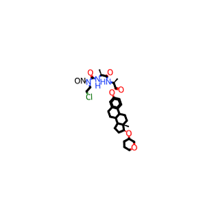 C[C@H](NC(=O)N(CCCl)N=O)C(=O)N[C@@H](C)C(=O)Oc1ccc2c(c1)CCC1C2CC[C@@]2(C)C1CC[C@@H]2OC1CCCOC1